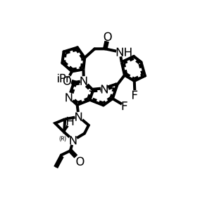 C=CC(=O)N1CCN(c2nc(=O)n3c4nc(c(F)cc24)-c2c(F)cccc2NC(=O)Cc2cccc(C(C)C)c2-3)C2C[C@H]21